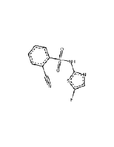 N#Cc1ccccc1S(=O)(=O)Nc1ncc(F)s1